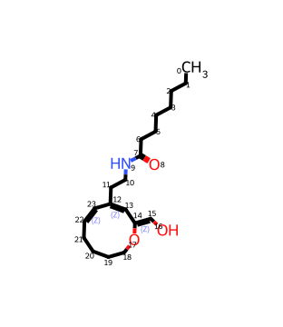 CCCCCCCC(=O)NCCC1=C/C(=C/O)OCCCC/C=C\1